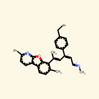 C/N=C/C=C(\C=C(/C)c1c(C)ccc2c1oc1nc(C(C)C)ccc12)c1ccc(CC(C)C)cc1